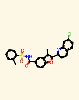 Cc1ccccc1S(=O)(=O)NC(=O)c1ccc2oc(-c3ccc4ccc(Cl)cc4n3)c(C)c2c1